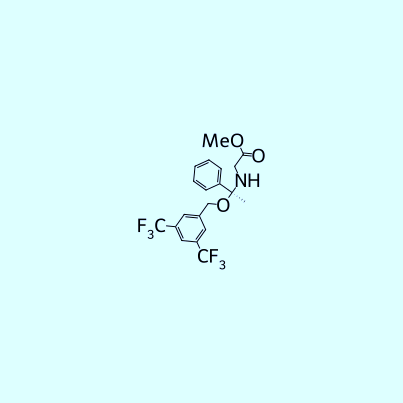 COC(=O)CN[C@@](C)(OCc1cc(C(F)(F)F)cc(C(F)(F)F)c1)c1ccccc1